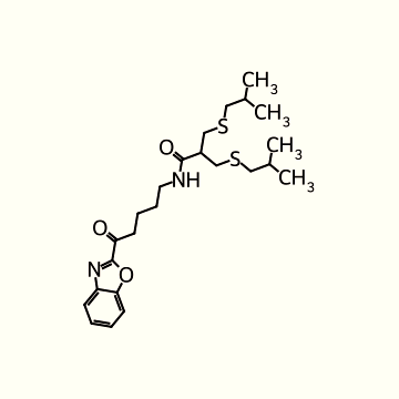 CC(C)CSCC(CSCC(C)C)C(=O)NCCCCC(=O)c1nc2ccccc2o1